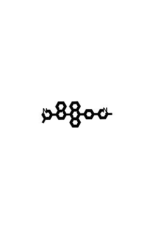 Cc1cncc(-c2ccc(-c3c4ccccc4c(-c4ccc(-c5ccc(C)nc5)cc4)c4ccccc34)c3ccccc23)c1